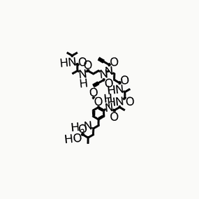 C#CC(=O)N(CCC(=O)NC(C)C(=O)NC(C)C)N(CCC(=O)NC(C)C(=O)NC(C)C(=O)Nc1cc(C[C@H](N)CC(C)C(=O)O)ccc1OC=O)C(=O)C#C